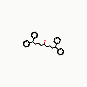 O=C(CCCC(c1ccccc1)c1ccccc1)CCCC(c1ccccc1)c1ccccc1